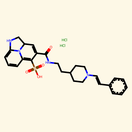 Cl.Cl.O=C(NCCC1CCN(C=Cc2ccccc2)CC1)C1=CC2CNC3=CC=CC(=C1S(=O)(=O)O)N32